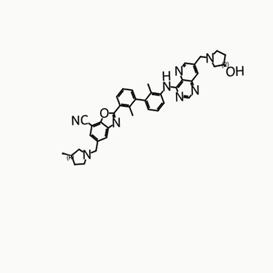 Cc1c(Nc2ncnc3cc(CN4CC[C@@H](O)C4)cnc23)cccc1-c1cccc(-c2nc3cc(CN4CC[C@@H](C)C4)cc(C#N)c3o2)c1C